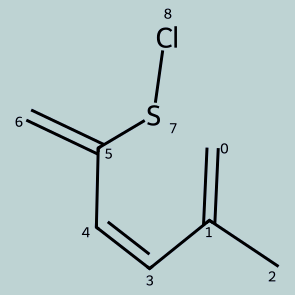 C=C(C)/C=C\C(=C)SCl